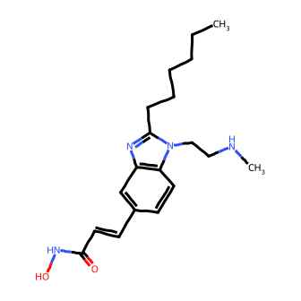 CCCCCCc1nc2cc(C=CC(=O)NO)ccc2n1CCNC